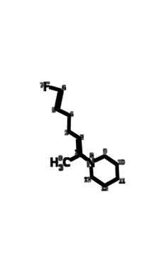 C/C(=C\CC/C=C/F)N1CCCCC1